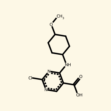 COC1CCC(Nc2nc(Cl)ncc2C(=O)O)CC1